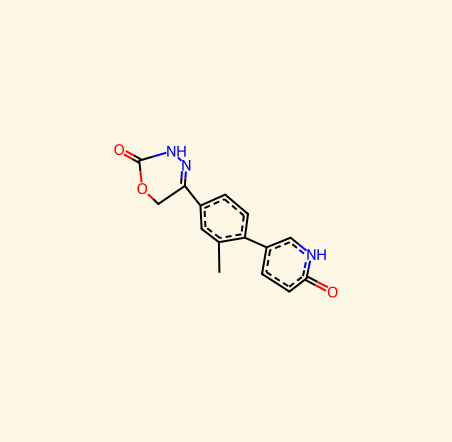 Cc1cc(C2=NNC(=O)OC2)ccc1-c1ccc(=O)[nH]c1